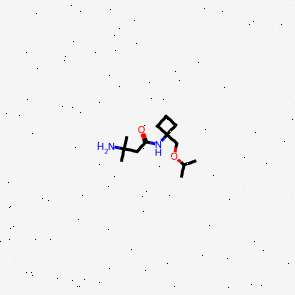 CC(C)OCC1(NC(=O)CC(C)(C)N)CCC1